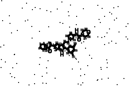 C=C(C(=O)N1C2CCC1CC2)c1cc2c(CCN3CCC(NC(=O)N4CCOCC4)C3)c(-c3cc(C)cc(C)c3)[nH]c2s1